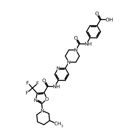 CC1CCCN(c2nc(C(F)(F)F)c(C(=O)Nc3ccc(N4CCN(C(=O)Nc5ccc(C(=O)O)cc5)CC4)nc3)o2)C1